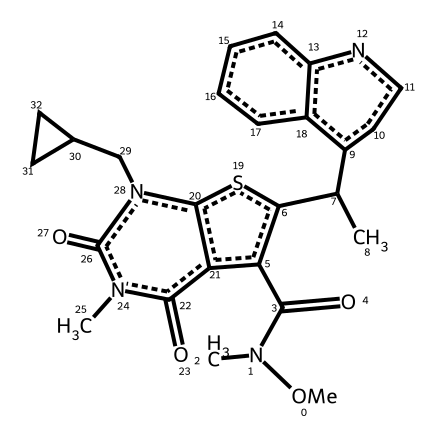 CON(C)C(=O)c1c(C(C)c2ccnc3ccccc23)sc2c1c(=O)n(C)c(=O)n2CC1CC1